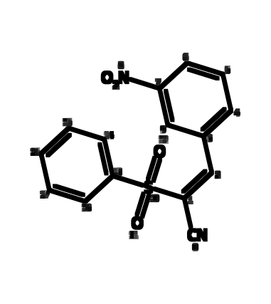 N#CC(=Cc1cccc([N+](=O)[O-])c1)S(=O)(=O)c1ccccc1